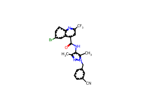 Cc1nn(Cc2cccc(C#N)c2)c(C)c1NC(=O)c1cc(C(F)(F)F)nc2ccc(Br)cc12